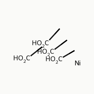 CC(=O)O.CC(=O)O.CC(=O)O.CC(=O)O.[Ni]